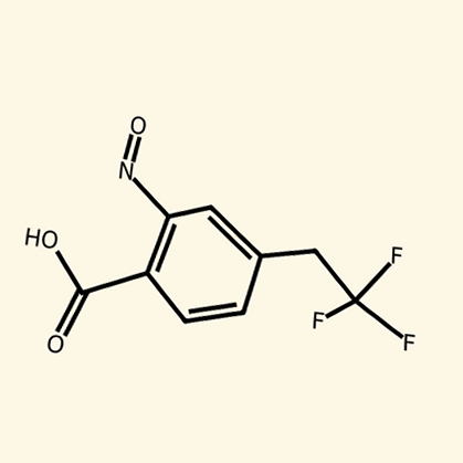 O=Nc1cc(CC(F)(F)F)ccc1C(=O)O